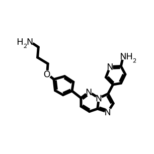 NCCCOc1ccc(-c2ccc3ncc(-c4ccc(N)nc4)n3n2)cc1